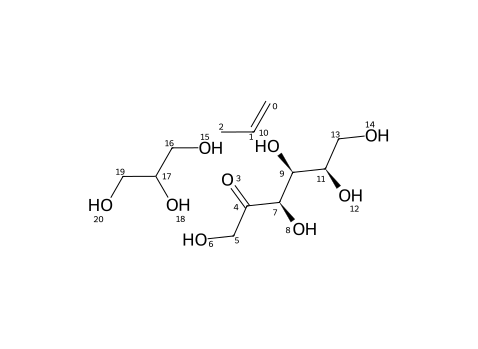 C=CC.O=C(CO)[C@H](O)[C@@H](O)[C@H](O)CO.OCC(O)CO